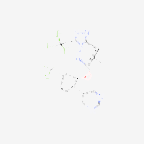 Cc1cc2nnc(C(F)(F)F)n2nc1Oc1cc(C(F)(F)F)ccc1-c1cncnc1